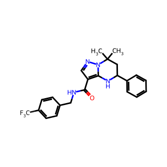 CC1(C)CC(c2ccccc2)Nc2c(C(=O)NCc3ccc(C(F)(F)F)cc3)cnn21